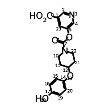 O=C(O)c1cncc(OC(=O)N2CCC(Oc3ccc(O)cc3)CC2)c1